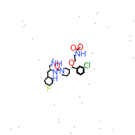 CNC[C@H](CC1CCC(F)CC1)NC(=O)N1CCC[C@@H](C(OCCNC(=O)OC)c2cccc(Cl)c2)C1